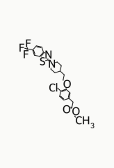 CCOC(=O)Cc1ccc(Cl)c(OCCC2CCN(c3nc4ccc(C(F)(F)F)cc4s3)CC2)c1